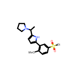 CCS(=O)(=O)c1ccc(OC)c(-c2ccc(C(C)N3CCCC3)[nH]2)c1